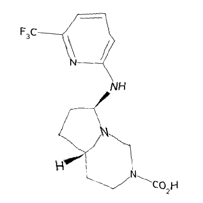 O=C(O)N1CC[C@@H]2CC[C@@H](Nc3cccc(C(F)(F)F)n3)N2C1